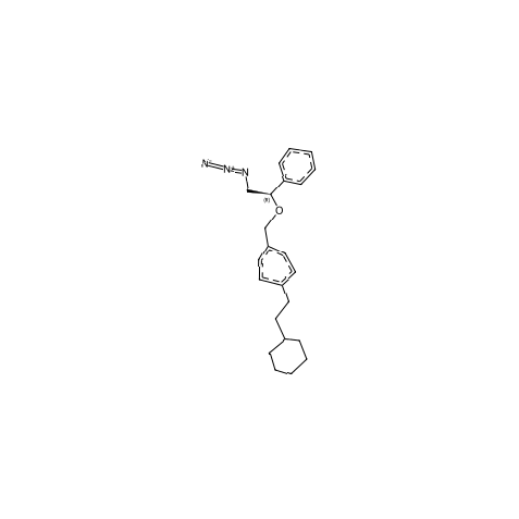 [N-]=[N+]=NC[C@H](OCc1ccc(CCC2CCCCC2)cc1)c1ccccc1